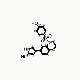 N#Cc1cc(-c2ccc3c(c2)N(S(=O)(=O)c2ccc(O)cc2)CCO3)c[nH]1